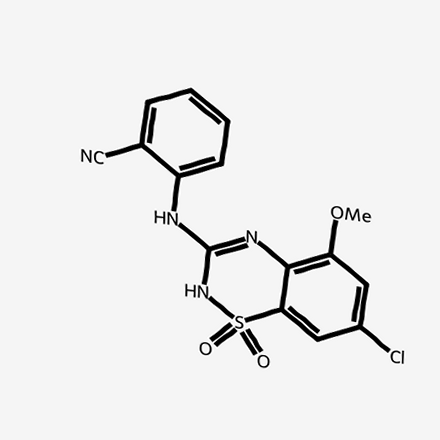 COc1cc(Cl)cc2c1N=C(Nc1ccccc1C#N)NS2(=O)=O